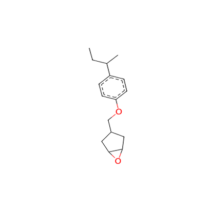 CCC(C)c1ccc(OCC2CC3OC3C2)cc1